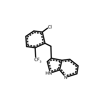 FC(F)(F)c1cccc(Cl)c1Cc1c[nH]c2ncccc12